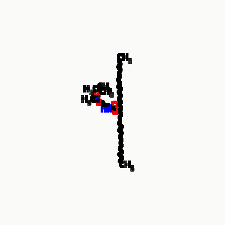 CCCCCCCCCCCCCCCCCC(CCCCCCCCCCCCCCCCC)OC(=O)NCCCON(C)COC(C)(C)C